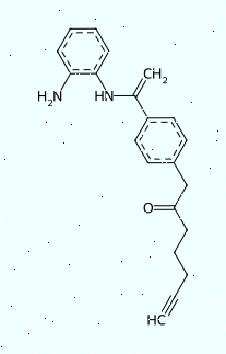 C#CCCCC(=O)Cc1ccc(C(=C)Nc2ccccc2N)cc1